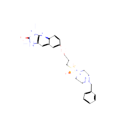 O=c1[nH]c2cc3cc(OCCCS(=O)(=O)N4CCN(Cc5ccccc5)CC4)ccc3nc2[nH]1